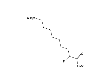 CCCCCCCCCCCCCCC(F)C(=O)OC